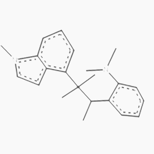 CC(c1ccccc1N(C)C)C(C)(C)c1cccc2c1ccn2C